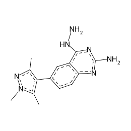 Cc1nn(C)c(C)c1-c1ccc2nc(N)nc(NN)c2c1